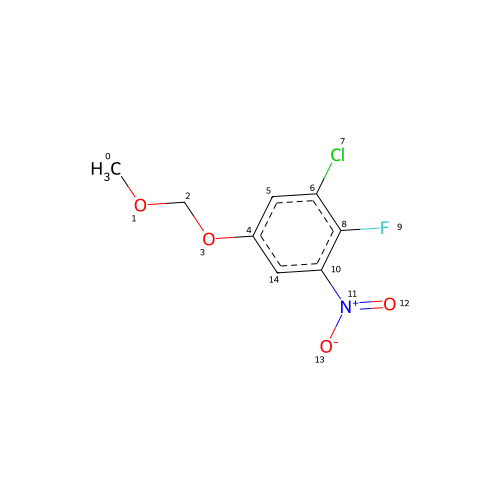 COCOc1cc(Cl)c(F)c([N+](=O)[O-])c1